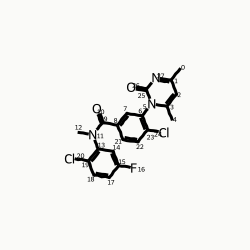 Cc1cc(C)n(-c2cc(C(=O)N(C)c3cc(F)ccc3Cl)ccc2Cl)c(=O)n1